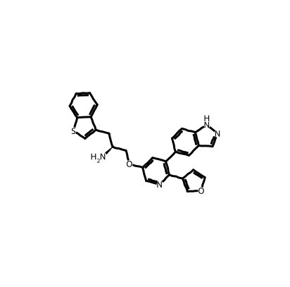 N[C@H](COc1cnc(-c2ccoc2)c(-c2ccc3[nH]ncc3c2)c1)Cc1csc2ccccc12